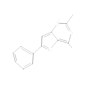 Cc1nc(Cl)c2nc(-c3ccccc3)cc-2[nH]1